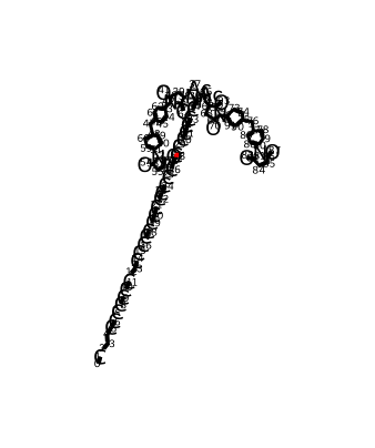 C=C=C=C=C=C=C=C=C=C=C=C=C=C=C=C=C=C=C=C=C=C=C=C=C=C=C=C=C=C=C=C=C=C=C=C(N(C(C)=O)C1CC(=O)N(c2ccc(Cc3ccc(N4C(=O)C=CC4=O)cc3)cc2)C1=O)N(C(C)=O)C1CC(=O)N(c2ccc(Cc3ccc(N4C(=O)C=CC4=O)cc3)cc2)C1=O